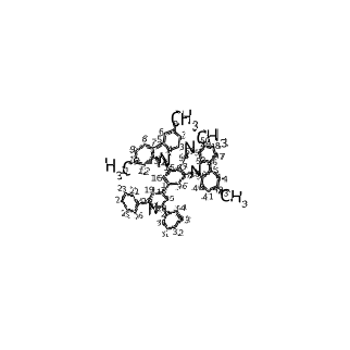 Cc1ccc2c(c1)c1ccc(C)cc1n2-c1cc(-c2cc(-c3ccccc3)nc(-c3ccccc3)c2)cc(-n2c3ccc(C)cc3c3ccc(C)cc32)c1C#N